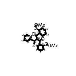 COOc1ccccc1C(=O)C(C(=O)c1ccccc1OOC)C(C)c1ccccn1